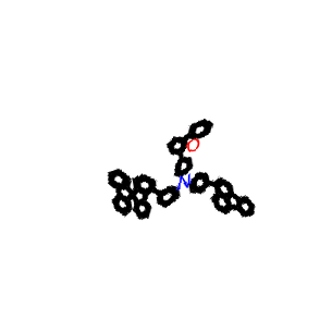 c1cc(-c2cccc3c2-c2ccccc2C32c3ccccc3-c3ccccc32)cc(N(c2ccc(-c3ccc4c5c(cccc35)-c3ccccc3-4)cc2)c2ccc(-c3cccc4c3oc3ccccc34)cc2)c1